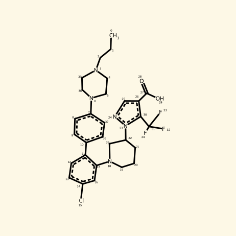 CCCN1CCN(c2ccc(-c3ccc(Cl)cc3N3CCCC(n4ncc(C(=O)O)c4C(F)(F)F)C3)cc2)CC1